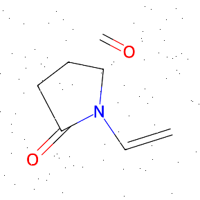 C=CN1CCCC1=O.C=O